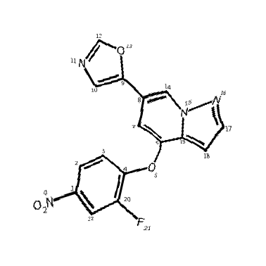 O=[N+]([O-])c1ccc(Oc2cc(-c3cnco3)cn3nccc23)c(F)c1